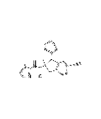 C#Cc1ccc2c(c1)C(c1ccccc1)C(C)(C(=O)Nc1nccs1)C2